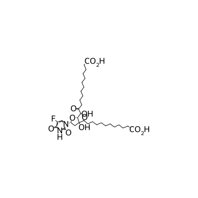 O=C(O)CCCCCCCCCCC(=O)[C@@H](O)[C@H]1O[C@@H](n2cc(F)c(=O)[nH]c2=O)C[C@@]1(O)C(=O)CCCCCCCCCCC(=O)O